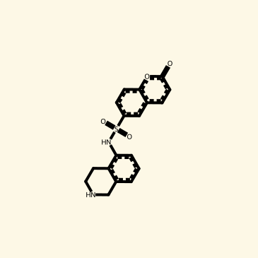 O=c1ccc2cc(S(=O)(=O)Nc3cccc4c3CCNC4)ccc2o1